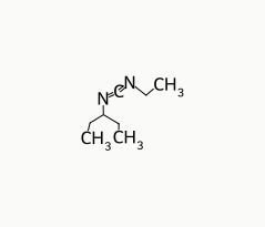 CCN=C=NC(CC)CC